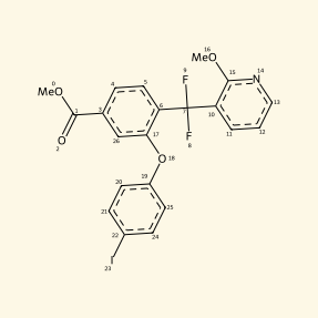 COC(=O)c1ccc(C(F)(F)c2cccnc2OC)c(Oc2ccc(I)cc2)c1